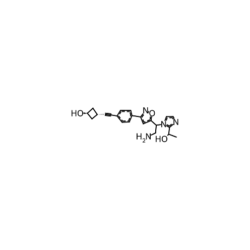 CC(O)c1nccn1C(CN)c1cc(-c2ccc(C#C[C@H]3C[C@H](O)C3)cc2)no1